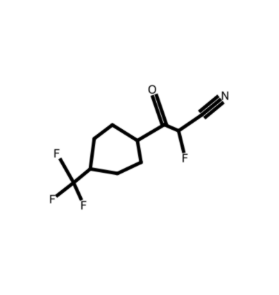 N#CC(F)C(=O)C1CCC(C(F)(F)F)CC1